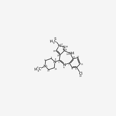 CN1CCN(C2=Nc3cc(Cl)ccc3Nc3nn(C)cc32)CC1